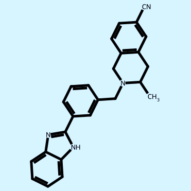 CC1Cc2cc(C#N)ccc2CN1Cc1cccc(-c2nc3ccccc3[nH]2)c1